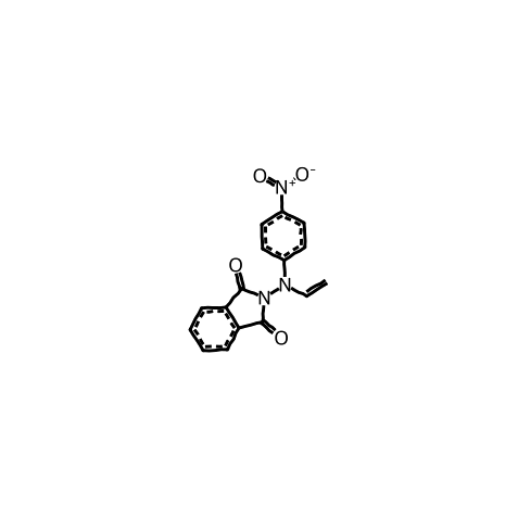 C=CN(c1ccc([N+](=O)[O-])cc1)N1C(=O)c2ccccc2C1=O